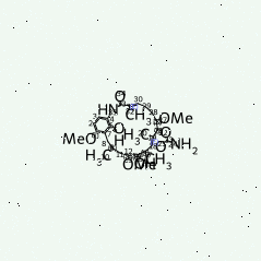 COc1ccc2c(O)c1C[C@@H](C)C[C@H](OC)[C@H](O)[C@@H](C)/C=C(\C)[C@H](OC(N)=O)[C@@H](OC)CC/C=C(\C)C(=O)N2